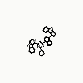 c1ccc(-c2nc(-c3ccc(-c4cccc5oc6ccccc6c45)c4ccccc34)nc(-c3nccc4oc5ccccc5c34)n2)cc1